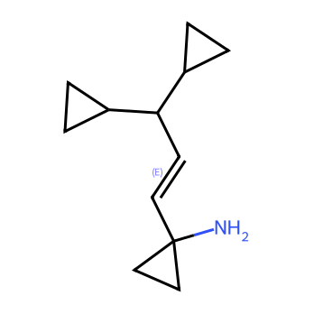 NC1(/C=C/C(C2CC2)C2CC2)CC1